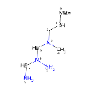 CNBCN(C)BN(N)BN